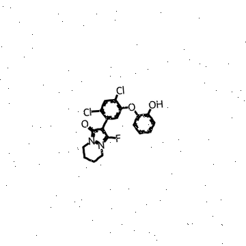 O=c1c(-c2cc(Oc3ccccc3O)c(Cl)cc2Cl)c(F)n2n1CCCC2